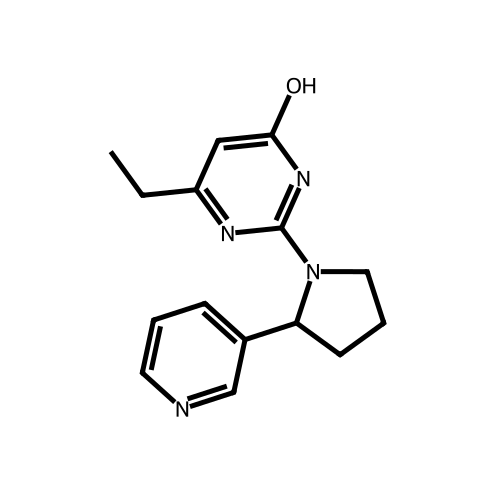 CCc1cc(O)nc(N2CCCC2c2cccnc2)n1